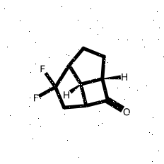 O=C1C2CC(F)(F)C3CC[C@H]1[C@H]23